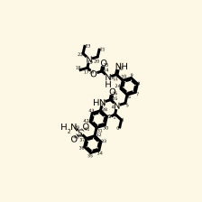 CCC(C)N(Cc1cccc(C(=N)NC(=O)OC(C)N(CC)CC)c1)C(=O)Nc1ccc(-c2ccccc2S(N)(=O)=O)cc1